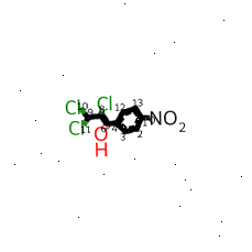 O=[N+]([O-])c1ccc(C(O)=C(Cl)C(Cl)Cl)cc1